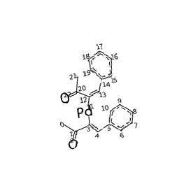 CC(=O)[C](=Cc1ccccc1)[Pd][C](=Cc1ccccc1)C(C)=O